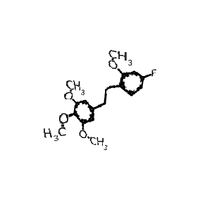 COc1cc(F)ccc1CCc1cc(OC)c(OC)c(OC)c1